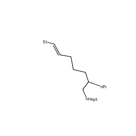 CCC=CCCCC(CCC)CCCCCCCC